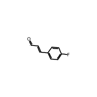 O=[C]C=Cc1ccc(F)cc1